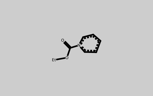 CCOC(=O)[n+]1ccccc1